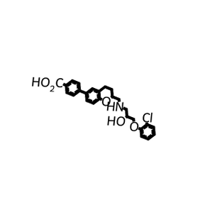 O=C(O)c1ccc(-c2ccc3c(c2)CCC(CNCC(O)COc2ccccc2Cl)O3)cc1